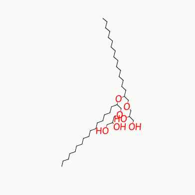 CCCCCCCCCCCCCCCCC(COCC(O)CO)OC(CCCCCCCCCCCCCCCC)COCC(O)CO